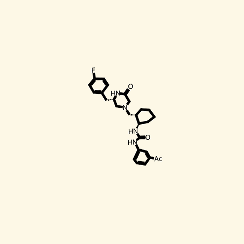 CC(=O)c1cccc(NC(=O)N[C@@H]2CCCC[C@H]2CN2CC(=O)N[C@@H](Cc3ccc(F)cc3)C2)c1